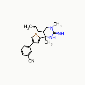 C=CC[C@H]1CN(C)C(=N)N[C@]1(C)c1cc(-c2cccc(C#N)c2)cs1